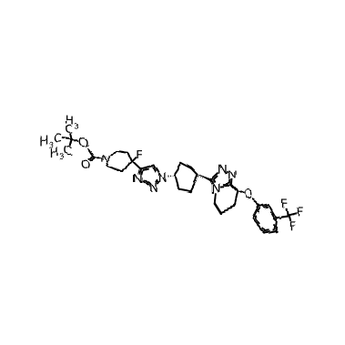 CC(C)(C)OC(=O)N1CCC(F)(c2cn([C@H]3CC[C@H](c4nnc5n4CCCC5Oc4cccc(C(F)(F)F)c4)CC3)nn2)CC1